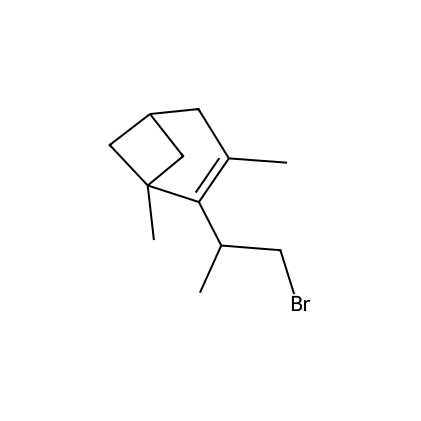 CC1=C(C(C)CBr)C2(C)CC(C1)C2